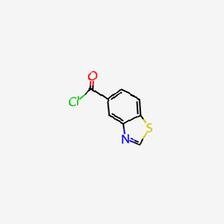 O=C(Cl)c1ccc2scnc2c1